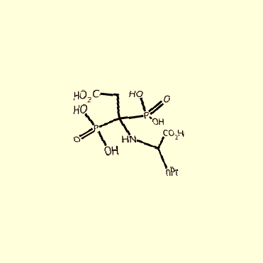 CCCC(NC(CC(=O)O)(P(=O)(O)O)P(=O)(O)O)C(=O)O